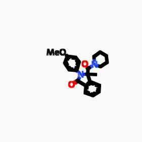 COc1ccc(N2C(=O)c3ccccc3C2(C)C(=O)N2CCCCC2)cc1